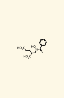 O=C(O)CCC(CN(O)C(=S)c1ccccc1)C(=O)O